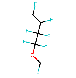 FCOC(F)(F)C(F)(F)C(F)CF